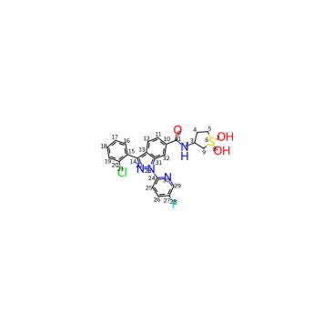 O=C(NC1CCS(O)(O)C1)c1ccc2c(-c3ccccc3Cl)nn(-c3ccc(F)cn3)c2c1